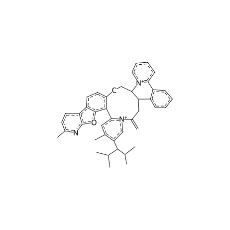 C=C1CC2c3ccccc3-c3cccc[n+]3C2CCc2ccc3c(oc4nc(C)ccc43)c2-c2cc(C)c(C(C(C)C)C(C)C)c[n+]21